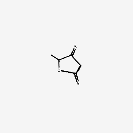 CC1OC(=S)CC1=S